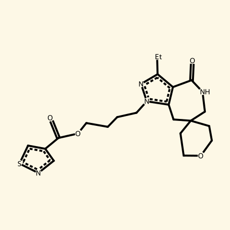 CCc1nn(CCCCOC(=O)c2cnsc2)c2c1C(=O)NCC1(CCOCC1)C2